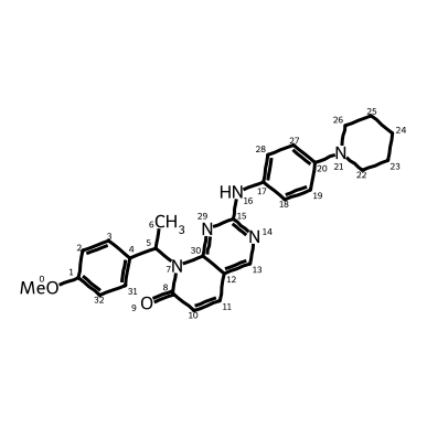 COc1ccc(C(C)n2c(=O)ccc3cnc(Nc4ccc(N5CCCCC5)cc4)nc32)cc1